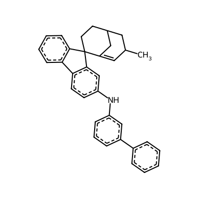 CC1C=C2CC(CCC23c2ccccc2-c2ccc(Nc4cccc(-c5ccccc5)c4)cc23)C1